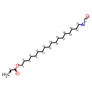 C=CC(=O)OCCCCCCCCCCCCCCCCCCN=C=O